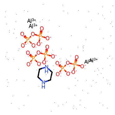 C1CNCCN1.O=P([O-])([O-])OP(=O)([O-])[O-].O=P([O-])([O-])OP(=O)([O-])[O-].O=P([O-])([O-])OP(=O)([O-])[O-].[Al+3].[Al+3].[Al+3].[Al+3]